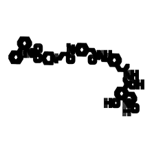 CC(Cc1cccc(CNC(=O)Cc2ccc(N(C)C(=O)CCN3CCC(OC(=O)Nc4ccccc4-c4ccccc4)CC3)cc2)c1)NC[C@H](O)c1ccc(O)c2[nH]c(=O)ccc12